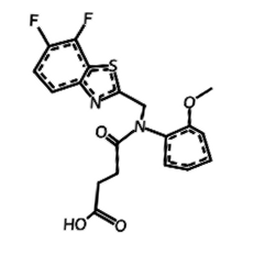 COc1ccccc1N(Cc1nc2ccc(F)c(F)c2s1)C(=O)CCC(=O)O